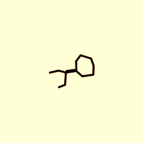 CCC(CC)=C1CCCCCC1